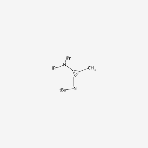 Cc1c(N(C(C)C)C(C)C)c1=NC(C)(C)C